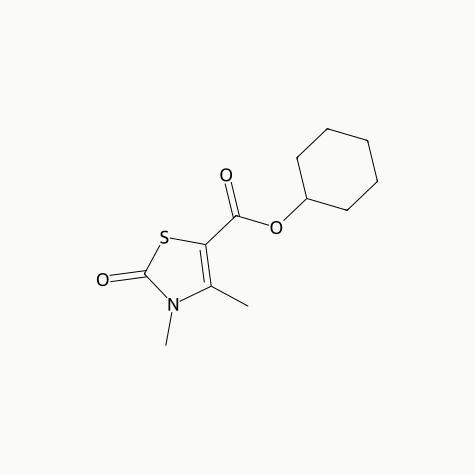 Cc1c(C(=O)OC2CCCCC2)sc(=O)n1C